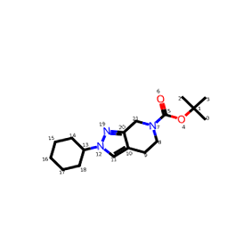 CC(C)(C)OC(=O)N1CCc2cn(C3CCCCC3)nc2C1